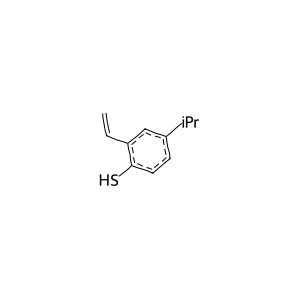 C=Cc1cc(C(C)C)ccc1S